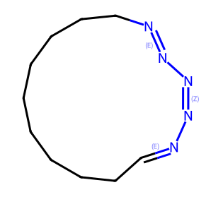 C1=N/N=N\N=N\CCCCCCCCC/1